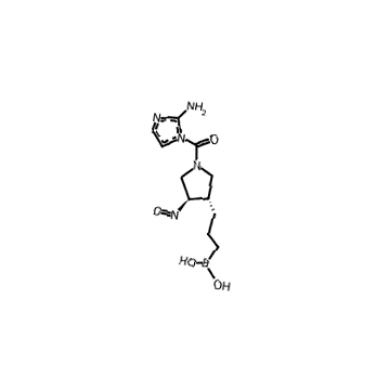 Nc1nccn1C(=O)N1C[C@H](CCCB(O)O)[C@@H](N=O)C1